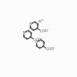 O=C([O-])c1ccncc1.O=C([O-])c1ccncc1.O=C([O-])c1ccncc1.[Al+3]